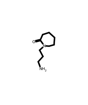 NCCCN1CCCCCC1=O